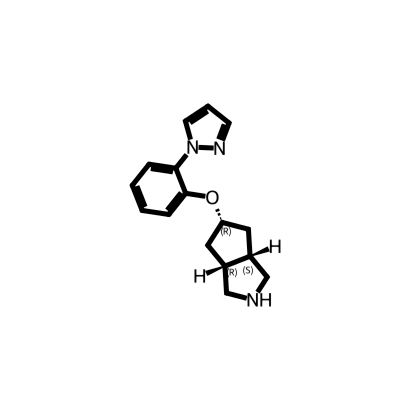 c1ccc(-n2cccn2)c(O[C@H]2C[C@H]3CNC[C@H]3C2)c1